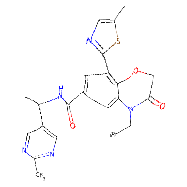 Cc1cnc(-c2cc(C(=O)NC(C)c3cnc(C(F)(F)F)nc3)cc3c2OCC(=O)N3CC(C)C)s1